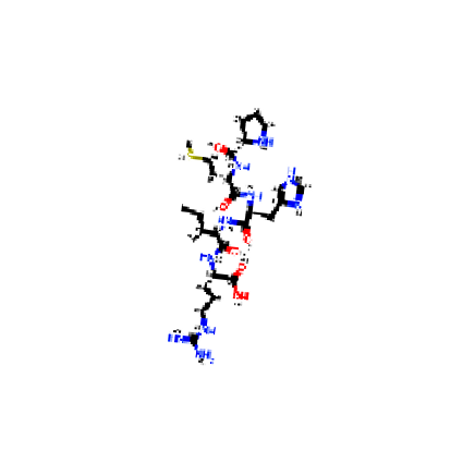 CC[C@H](C)[C@H](NC(=O)[C@H](Cc1c[nH]cn1)NC(=O)[C@H](CCSC)NC(=O)[C@@H]1CCCN1)C(=O)N[C@@H](CCCNC(=N)N)C(=O)O